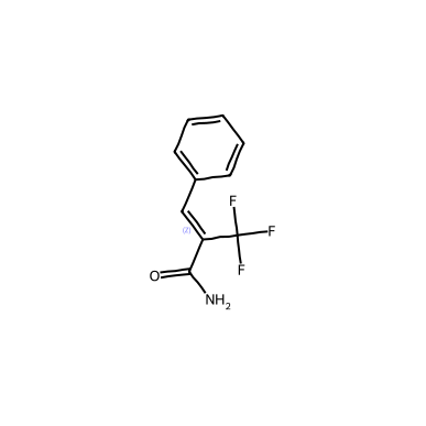 NC(=O)/C(=C/c1ccccc1)C(F)(F)F